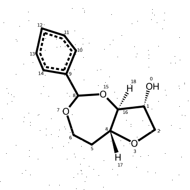 O[C@@H]1CO[C@@H]2CCOC(c3ccccc3)O[C@@H]12